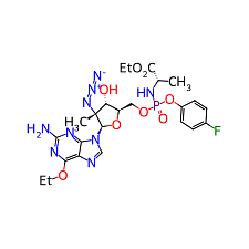 CCOC(=O)[C@H](C)NP(=O)(OC[C@H]1O[C@@H](n2cnc3c(OCC)nc(N)nc32)[C@](C)(N=[N+]=[N-])[C@@H]1O)Oc1ccc(F)cc1